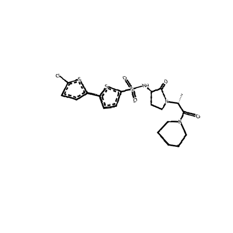 C[C@H](C(=O)N1CCCCC1)N1CC[C@@H](NS(=O)(=O)c2ccc(-c3ccc(Cl)s3)s2)C1=O